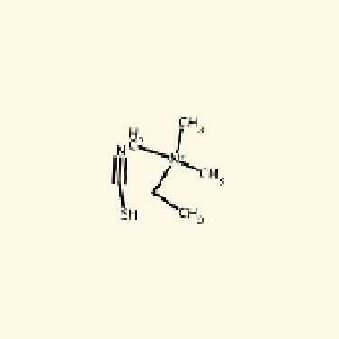 CC[N+](C)(C)C.N#CS